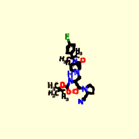 CC(C)(C)OC(=O)NC(CN1C[C@@H]2CC1C(=O)N2C(C)(C)c1ccc(F)cc1)C(=O)N1CCCC1C#N